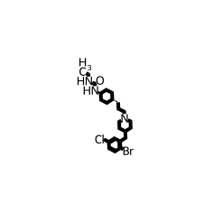 CCNC(=O)N[C@H]1CC[C@H](CCCN2CCC(Cc3cc(Cl)ccc3Br)CC2)CC1